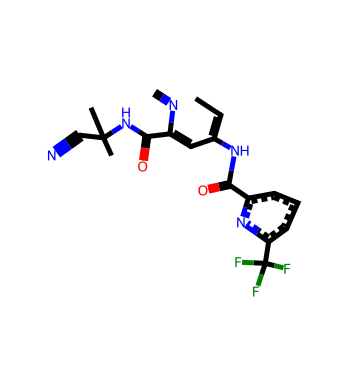 C=N/C(=C\C(=C/C)NC(=O)c1cccc(C(F)(F)F)n1)C(=O)NC(C)(C)C#N